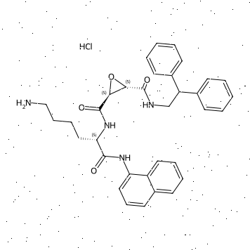 Cl.NCCCC[C@H](NC(=O)[C@H]1O[C@@H]1C(=O)NCC(c1ccccc1)c1ccccc1)C(=O)Nc1cccc2ccccc12